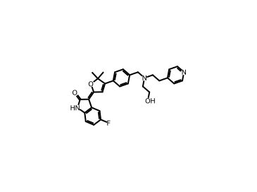 CC1(C)OC(=C2C(=O)Nc3ccc(F)cc32)C=C1c1ccc(CN(CCO)CCc2ccncc2)cc1